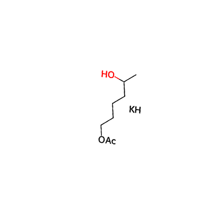 CC(=O)OCCCCC(C)O.[KH]